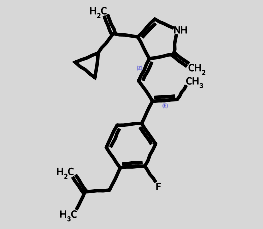 C=C(C)Cc1ccc(C(/C=c2/c(C(=C)C3CC3)c[nH]c2=C)=C/C)cc1F